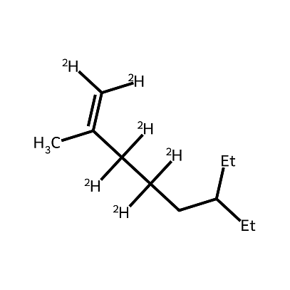 [2H]C([2H])=C(C)C([2H])([2H])C([2H])([2H])CC(CC)CC